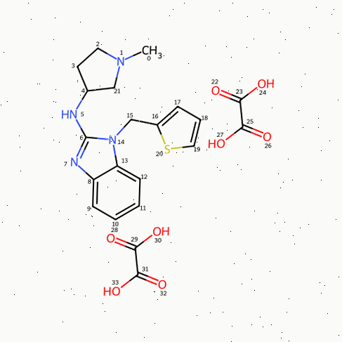 CN1CCC(Nc2nc3ccccc3n2Cc2cccs2)C1.O=C(O)C(=O)O.O=C(O)C(=O)O